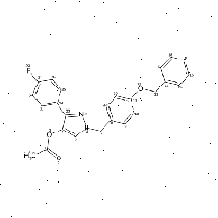 CC(=O)Oc1cn(Cc2ccc(OCc3ccccc3)cc2)nc1-c1ccc(F)cc1